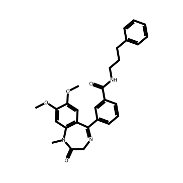 COc1cc2c(cc1OC)N(C)C(=O)CN=C2c1cccc(C(=O)NCCCc2ccccc2)c1